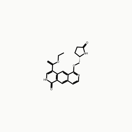 C=C(OCC)c1c[nH]c(=O)c2cc3ccnc(OC[C@@H]4CCC(=O)N4)c3cc12